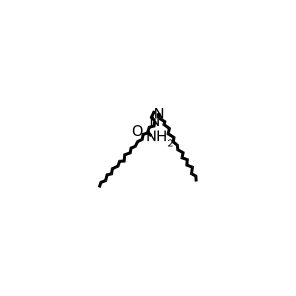 CCCCCCCCCCCCCCCCC1=NCCN1CCC(N)C(=O)CCCCCCCCCCCCCCC